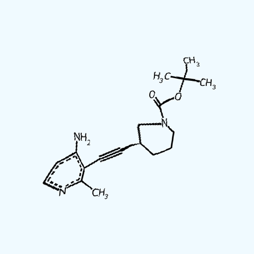 Cc1nccc(N)c1C#C[C@@H]1CCCN(C(=O)OC(C)(C)C)C1